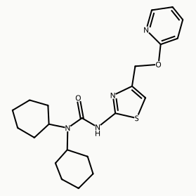 O=C(Nc1nc(COc2ccccn2)cs1)N(C1CCCCC1)C1CCCCC1